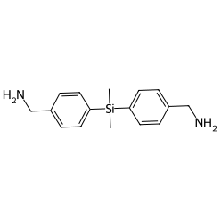 C[Si](C)(c1ccc(CN)cc1)c1ccc(CN)cc1